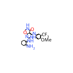 COc1ccc(Nc2nc(N[C@@H]3CCCC[C@@H]3N)nc3c2C(=O)NCO3)cc1C(F)(F)F